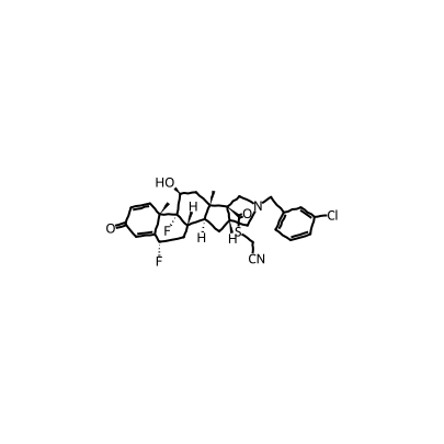 C[C@]12C=CC(=O)C=C1[C@@H](F)C[C@H]1[C@@H]3C[C@H]4CN(Cc5cccc(Cl)c5)C[C@@]4(C(=O)SCC#N)[C@@]3(C)C[C@H](O)[C@@]12F